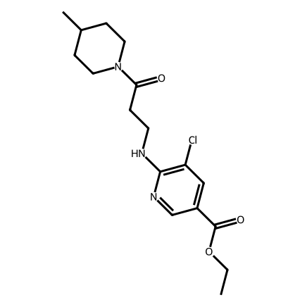 CCOC(=O)c1cnc(NCCC(=O)N2CCC(C)CC2)c(Cl)c1